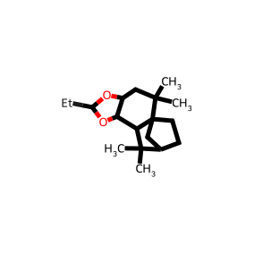 CCC1OC2CC(C)(C)C34CCC(C3)C(C)(C)C4C2O1